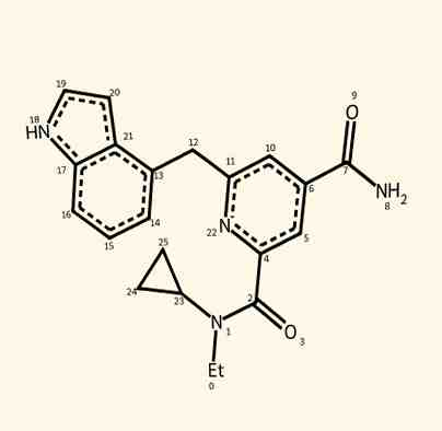 CCN(C(=O)c1cc(C(N)=O)cc(Cc2cccc3[nH]ccc23)n1)C1CC1